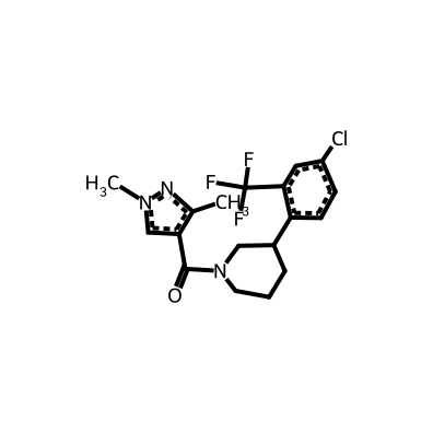 Cc1nn(C)cc1C(=O)N1CCCC(c2ccc(Cl)cc2C(F)(F)F)C1